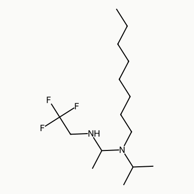 CCCCCCCCN(C(C)C)C(C)NCC(F)(F)F